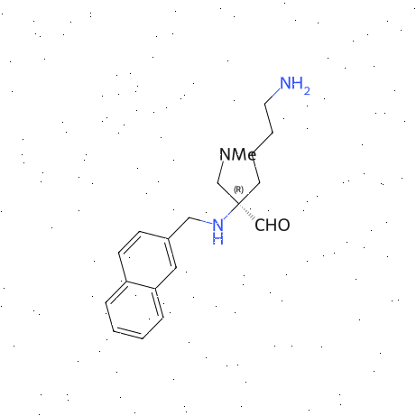 CNC[C@@](C=O)(CCCCN)NCc1ccc2ccccc2c1